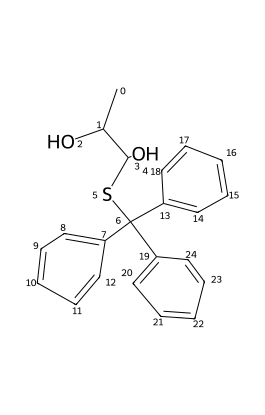 CC(O)C(O)SC(c1ccccc1)(c1ccccc1)c1ccccc1